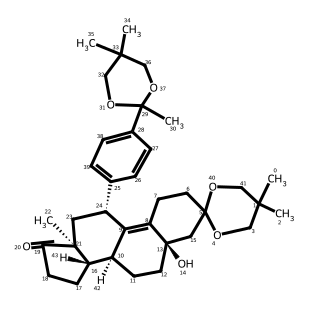 CC1(C)COC2(CCC3=C4[C@@H](CC[C@@]3(O)C2)[C@@H]2CCC(=O)[C@@]2(C)C[C@@H]4c2ccc(C3(C)OCC(C)(C)CO3)cc2)OC1